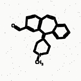 CN1CCC(=C2c3ccccc3C=Cc3ccc(C=O)cc32)CC1